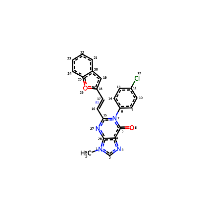 Cn1cnc2c(=O)n(-c3ccc(Cl)cc3)c(/C=C/c3cc4ccccc4o3)nc21